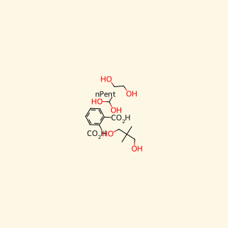 CC(C)(CO)CO.CCCCCC(O)O.O=C(O)c1ccccc1C(=O)O.OCCO